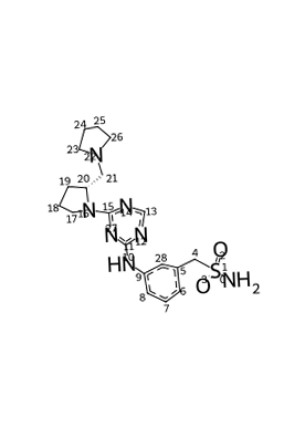 NS(=O)(=O)Cc1cccc(Nc2ncnc(N3CCC[C@@H]3CN3CCCC3)n2)c1